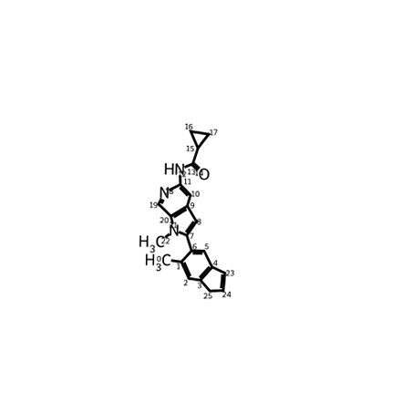 Cc1cc2c(cc1-c1cc3cc(NC(=O)C4CC4)ncc3n1C)C=CC2